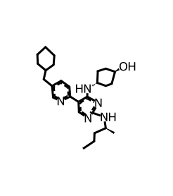 CCC[C@H](C)Nc1ncc(-c2ccc(CC3CCCCC3)cn2)c(N[C@H]2CC[C@H](O)CC2)n1